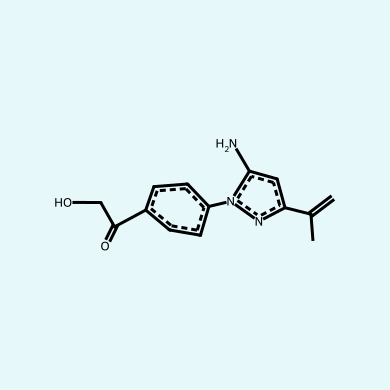 C=C(C)c1cc(N)n(-c2ccc(C(=O)CO)cc2)n1